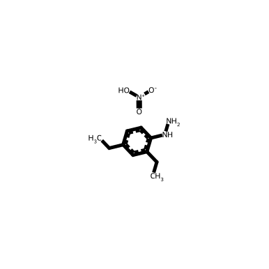 CCc1ccc(NN)c(CC)c1.O=[N+]([O-])O